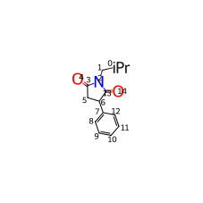 CC(C)CN1C(=O)CC(c2ccccc2)C1=O